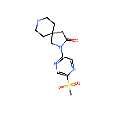 CCS(=O)(=O)c1cnc(N2CC3(CCNCC3)CC2=O)cn1